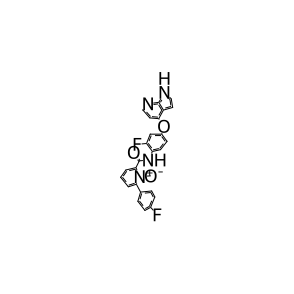 O=C(Nc1ccc(Oc2ccnc3[nH]ccc23)cc1F)c1cccc(-c2ccc(F)cc2)[n+]1[O-]